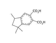 CC1CC(C)(C)c2cc(C(=O)O)c(C(=O)O)cc21